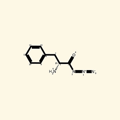 [N-]=[N+]=NC(=O)[C@H](N)Cc1ccccc1